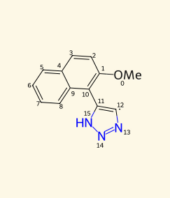 COc1ccc2ccccc2c1-c1[c]nn[nH]1